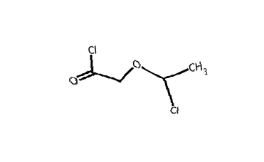 CC(Cl)OCC(=O)Cl